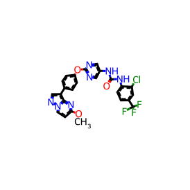 COc1ccn2ncc(-c3ccc(Oc4ncc(NC(=O)Nc5ccc(C(F)(F)F)cc5Cl)cn4)cc3)c2n1